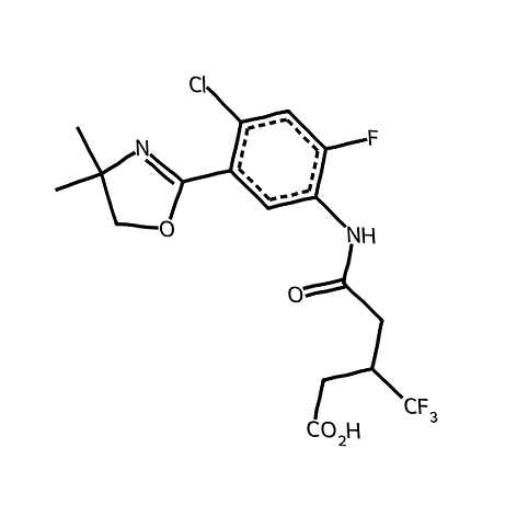 CC1(C)COC(c2cc(NC(=O)CC(CC(=O)O)C(F)(F)F)c(F)cc2Cl)=N1